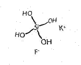 O[Si](O)(O)O.[F-].[K+]